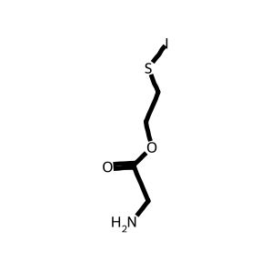 NCC(=O)OCCSI